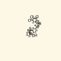 OC(c1ccc(/C(F)=C/C(c2cc(Cl)c(Cl)c(Cl)c2)C(F)(F)F)cc1C(F)(F)F)N1CCCC1